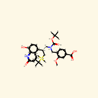 COc1cc(C(=O)O)ccc1CN(C[C@H](CS(C)(C)C(C)(C)C)c1ccc(O)c2[nH]c(=O)ccc12)C(=O)OC(C)(C)C